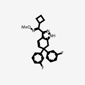 CON=C(c1n[nH]c2c1C=CC(c1cccc(F)c1)(c1cccc(F)c1)C2)C1CCC1